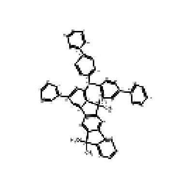 CC1(C)c2ccccc2-c2cc3c(cc21)-c1cc(-c2ccccc2)cc(N(c2ccc(-c4ccccc4)cc2)c2ccc(-c4ccccc4)cc2)c1C3(C)C